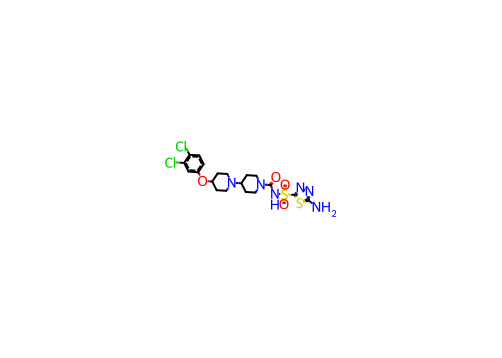 Nc1nnc(S(=O)(=O)NC(=O)N2CCC(N3CCC(Oc4ccc(Cl)c(Cl)c4)CC3)CC2)s1